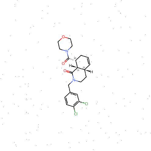 O=C1[C@H]2[C@H](C=CC[C@H]2C(=O)N2CCOCC2)CCN1Cc1ccc(Cl)c(Cl)c1